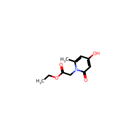 CCOC(=O)Cn1c(C)cc(O)cc1=O